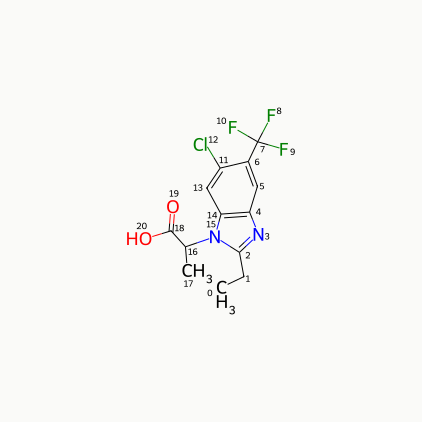 CCc1nc2cc(C(F)(F)F)c(Cl)cc2n1C(C)C(=O)O